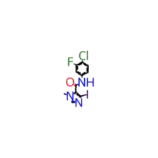 Cn1cnc(I)c1C(=O)Nc1ccc(Cl)c(F)c1